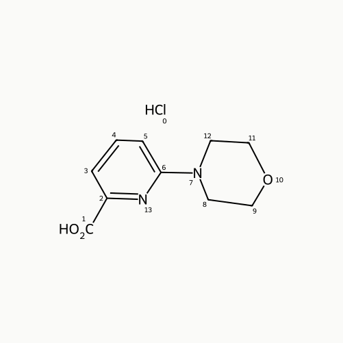 Cl.O=C(O)c1cccc(N2CCOCC2)n1